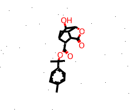 Cc1ccc(C(C)(C)OC(=O)C2C3CC4C(OC(=O)C42)C3O)cc1